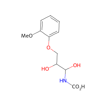 COc1ccccc1OCC(O)C(O)NC(=O)O